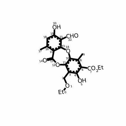 CCOCc1c(O)c(C(=O)OCC)c(C)c2c1OC(=O)c1c(C)cc(O)c(C=O)c1O2